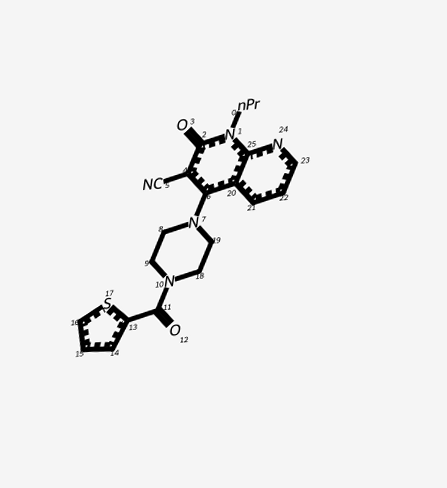 CCCn1c(=O)c(C#N)c(N2CCN(C(=O)c3cccs3)CC2)c2cccnc21